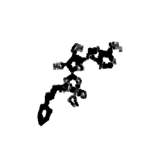 Nc1ncnc2c1ncn2[C@@H]1O[C@H](C(OOCC=Cc2ccccc2)OP(=O)(O)O)[C@@H](O)[C@H]1O